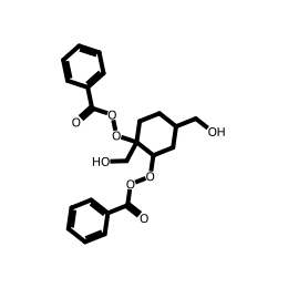 O=C(OOC1CC(CO)CCC1(CO)OOC(=O)c1ccccc1)c1ccccc1